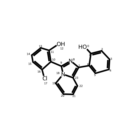 Oc1ccccc1-c1nc(-c2c(O)cccc2Cl)n2ccccc12